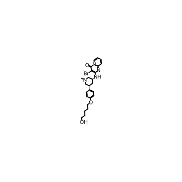 CN1C[C@H](Nc2nc3ccccn3c(=O)c2Br)C[C@H](c2ccc(OCCCCCO)cc2)C1